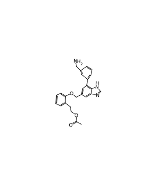 CC(=O)OCCc1ccccc1OCc1cc(-c2cccc(CN)c2)c2[nH]cnc2c1